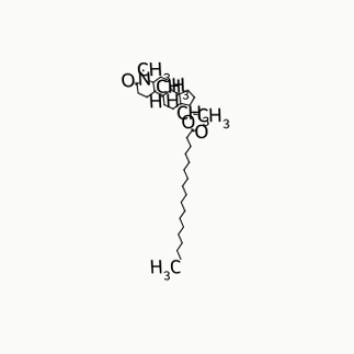 CCCCCCCCCCCCCCCCCC(=O)OC(C)[C@H]1CC[C@H]2[C@@H]3CCC4N(C)C(=O)CC[C@]4(C)[C@H]3CC[C@]12C